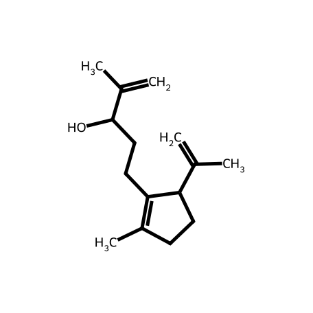 C=C(C)C(O)CCC1=C(C)CCC1C(=C)C